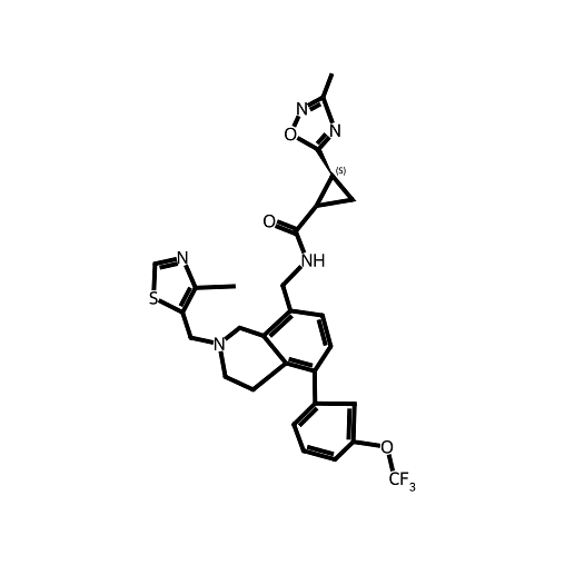 Cc1noc([C@H]2CC2C(=O)NCc2ccc(-c3cccc(OC(F)(F)F)c3)c3c2CN(Cc2scnc2C)CC3)n1